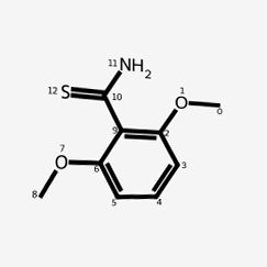 COc1cccc(OC)c1C(N)=S